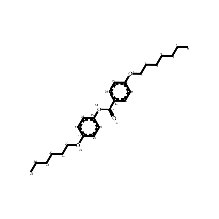 CCCCCCCOc1ccc(C(=O)Oc2ccc(OCCCCCC)cc2)cc1